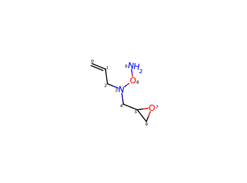 C=CCN(CC1CO1)ON